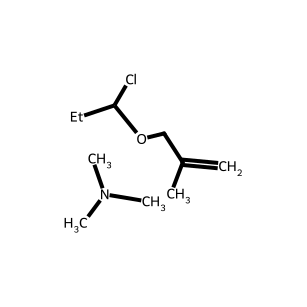 C=C(C)COC(Cl)CC.CN(C)C